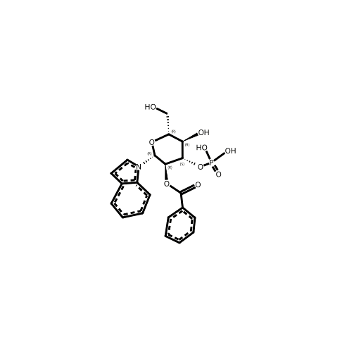 O=C(O[C@@H]1[C@@H](OP(=O)(O)O)[C@H](O)[C@@H](CO)O[C@H]1n1ccc2ccccc21)c1ccccc1